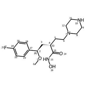 CO[C@H](C[C@H](CCN1CCNCC1)C(=O)NO)c1ccc(F)cc1